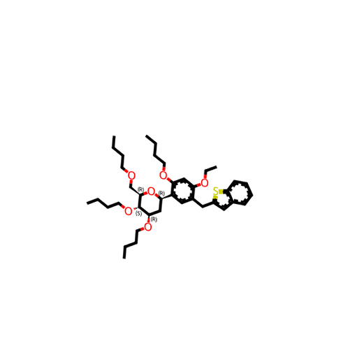 CCCCOC[C@H]1O[C@@H](c2cc(Cc3cc4ccccc4s3)c(OCC)cc2OCCCC)C[C@@H](OCCCC)[C@@H]1OCCCC